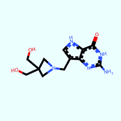 Nc1nc2c(CN3CC(CO)(CO)C3)c[nH]c2c(=O)[nH]1